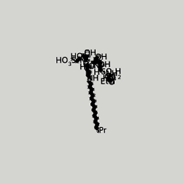 CC(C)CCCCCCCCCCCCCCCCCNCCC[SiH](OCC(CO)(CO)NCCS(=O)(=O)O)OCC(CO)(CO)NCCS(=O)(=O)O.CCS(=O)(=O)ON.Cl